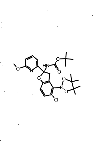 COc1cccc(C2(NC(=O)OC(C)(C)C)Cc3c(ccc(Cl)c3B3OC(C)(C)C(C)(C)O3)O2)n1